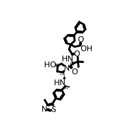 Cc1ncsc1-c1ccc([C@H](C)NC[C@@H]2C[C@@H](O)CN2C(=O)[C@@H](NC(=O)CC2(CC(=O)O)C=CC=C(c3ccccc3)C2)C(C)(C)C)cc1